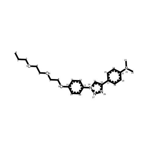 CCCOCCOCCOc1ccc(-n2cc(-c3ccc(N(C)C)cc3)nn2)cc1